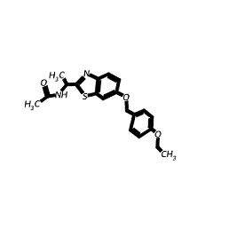 CCOc1ccc(COc2ccc3nc(C(C)NC(C)=O)sc3c2)cc1